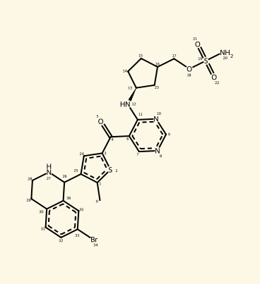 Cc1sc(C(=O)c2cncnc2N[C@H]2CCC(COS(N)(=O)=O)C2)cc1C1NCCc2ccc(Br)cc21